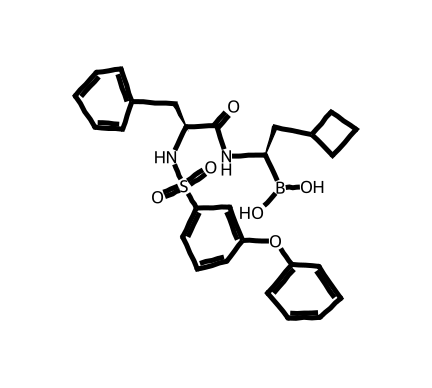 O=C(N[C@@H](CC1CCC1)B(O)O)[C@H](Cc1ccccc1)NS(=O)(=O)c1cccc(Oc2ccccc2)c1